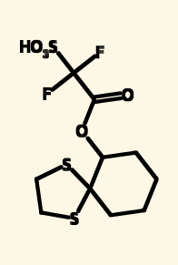 O=C(OC1CCCCC12SCCS2)C(F)(F)S(=O)(=O)O